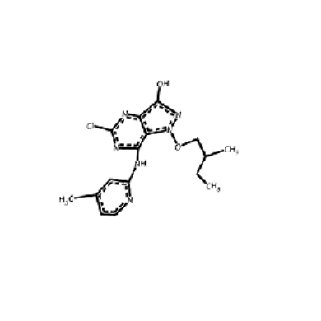 CCC(C)COn1nc(O)c2nc(Cl)nc(Nc3cc(C)ccn3)c21